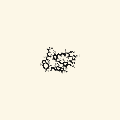 CC(=O)N1CC[C@H]2CC[C@@H](C(=O)N[C@@H](CCC(N)=O)COc3cc(F)cc(CCCC(=O)N[C@H](C(=O)N4C[C@H](O)C[C@H]4C(=O)N[C@@H](C)c4ccc(-c5scnc5C)cc4)C(C)(C)C)c3Cl)N2C(=O)[C@@H](NC(=O)c2cc3cc(C(=O)P(=O)(O)O)ccc3[nH]2)C1